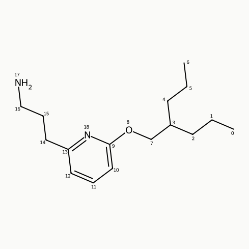 CCCC(CCC)COc1cccc(CCCN)n1